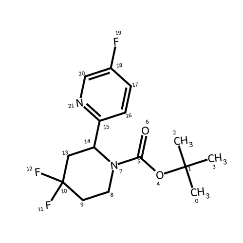 CC(C)(C)OC(=O)N1CCC(F)(F)CC1c1ccc(F)cn1